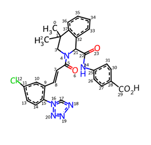 CC1(C)CN(C(=O)C=Cc2cc(Cl)ccc2-n2cnnn2)C(C(=O)Nc2ccc(C(=O)O)cc2)c2ccccc21